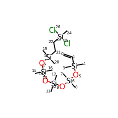 C=C[Si](C)(C)O[Si](C)(C)O[Si](C)(C)O[Si](C)(C)O[Si](C)(C)CC[Si](C)(Cl)Cl